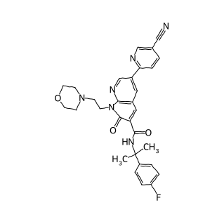 CC(C)(NC(=O)c1cc2cc(-c3ccc(C#N)cn3)cnc2n(CCN2CCOCC2)c1=O)c1ccc(F)cc1